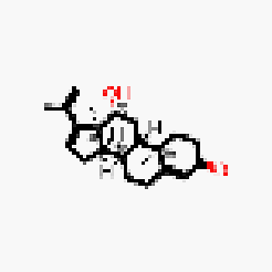 C=C(C)C1=CC[C@H]2[C@@H]3CCC4=CC(=O)CC[C@]4(C)[C@H]3C[C@@H](O)[C@]12C